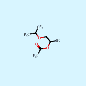 CCC(COC(C(F)(F)F)C(F)(F)F)OC(=O)C(F)(F)F